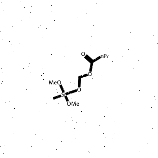 CCCC(=O)OCO[Si](C)(OC)OC